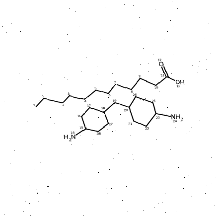 CCCCCCCCCCCC(=O)O.NC1CCC(CC2CCC(N)CC2)CC1